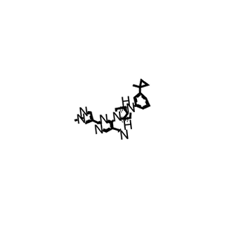 Cn1cc(-c2ncc(C#N)c(N3C[C@H]4C[C@H]3CN4c3cccc(C4(C)CC4)c3)n2)cn1